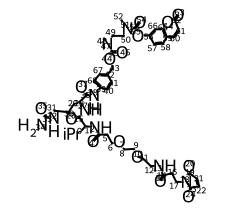 CC(C)C(NC(=O)CCOCCOCCNC(=O)CCN1C(=O)C=CC1=O)C(=O)N[C@@H](CCCNC(N)=O)C(=O)Nc1ccc(COC(=O)N(C)CCN(C)C(=O)Oc2ccc3ccc(=O)oc3c2)cc1